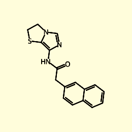 O=C(Cc1ccc2ccccc2c1)Nc1ncn2c1SCC2